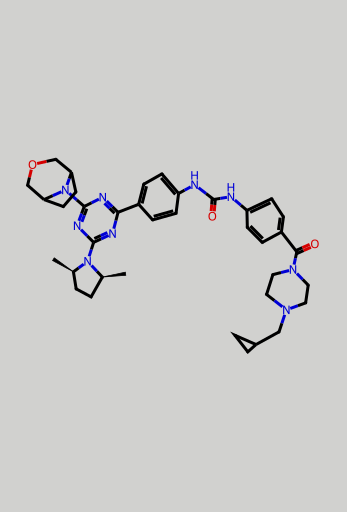 C[C@@H]1CC[C@H](C)N1c1nc(-c2ccc(NC(=O)Nc3ccc(C(=O)N4CCN(CC5CC5)CC4)cc3)cc2)nc(N2C3CCC2COC3)n1